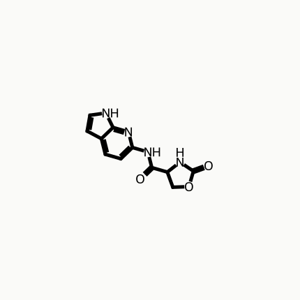 O=C1NC(C(=O)Nc2ccc3cc[nH]c3n2)CO1